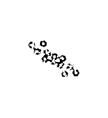 c1ccc(-c2cc3sc4cc(N(c5ccccc5)c5cccc6c5oc5ccccc56)ccc4c3c3c(-c4ccccc4)cc4sc5cc(N(c6ccccc6)c6cccc7c6oc6ccccc67)ccc5c4c23)cc1